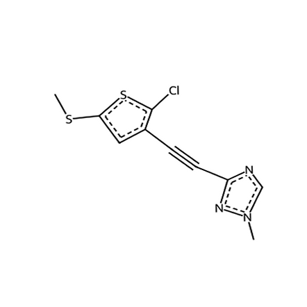 CSc1cc(C#Cc2ncn(C)n2)c(Cl)s1